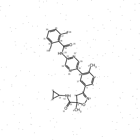 Cc1ccc(C2=NOC(C)(C(=O)NC3CC3)C2)cc1-c1cnc(NC(=O)c2c(F)cccc2F)cn1